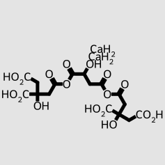 O=C(O)CC(O)(CC(=O)OC(=O)CC(O)C(=O)OC(=O)CC(O)(CC(=O)O)C(=O)O)C(=O)O.[CaH2].[CaH2]